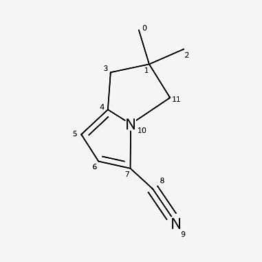 CC1(C)Cc2ccc(C#N)n2C1